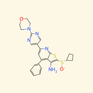 Nc1c([S+]([O-])C2CCC2)sc2nc(-c3cnc(N4CCOCC4)nc3)cc(-c3ccccc3)c12